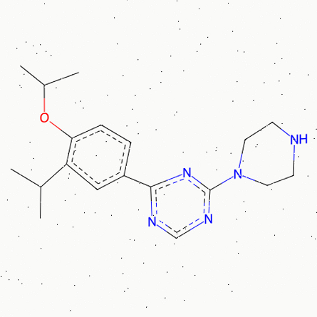 CC(C)Oc1ccc(-c2ncnc(N3CCNCC3)n2)cc1C(C)C